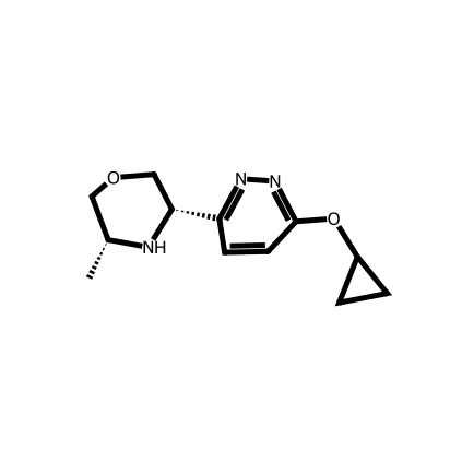 C[C@@H]1COC[C@H](c2ccc(OC3CC3)nn2)N1